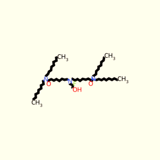 CCCCCCCCCCN(CCCCCCCCCC)C(=O)CCCCCCCN(CCCCCCCC(=O)N(CCCCCCCCCC)CCCCCCCCCC)CC(F)CO